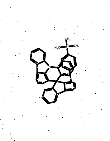 C[Si](C)(C)c1ccc(-c2cccc3c2C2(c4ccccc4-3)c3ccccc3-n3c4ccccc4c4cccc2c43)cc1